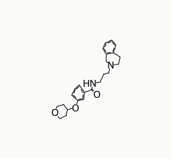 O=C(NCCCN1CCc2ccccc2C1)c1cccc(OC2CCOCC2)c1